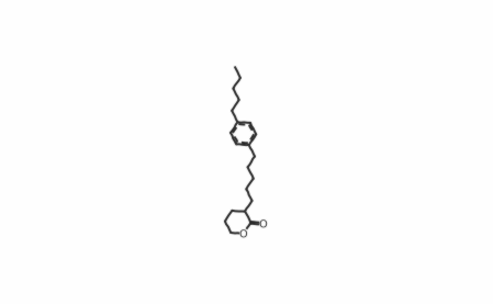 CCCCCc1ccc(CCCCCC2CCCOC2=O)cc1